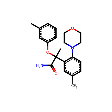 Cc1cccc(OC(C)(C(N)=O)c2cc(C(F)(F)F)ccc2N2CCOCC2)c1